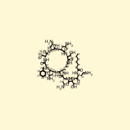 CCCCCCC(=O)N[C@@H](CCN)C(=O)N[C@H](C(=O)N[C@H](CCN)C(=O)N[C@H]1CCNC(=O)[C@H]([C@@H](C)O)NC(=O)[C@H](CCN)NC(=O)[C@H](CCN)NC(=O)[C@H]([C@@H](C)O)NC(=O)[C@@H](Cc2ccccc2)NC(=O)[C@H](CCN)NC1=O)[C@@H](C)O